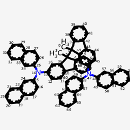 CC1(C2(C)c3ccccc3-c3ccc(N(c4ccc5ccccc5c4)c4ccc5ccccc5c4)cc32)c2ccccc2-c2ccc(N(c3ccc4ccccc4c3)c3ccc4ccccc4c3)cc21